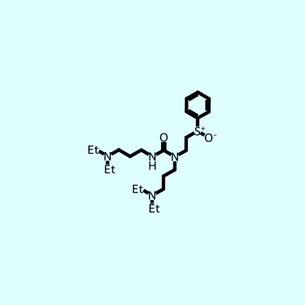 CCN(CC)CCCNC(=O)N(CCCN(CC)CC)CC[S+]([O-])c1ccccc1